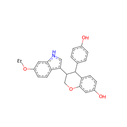 CCOc1ccc2c(C3COc4cc(O)ccc4C3c3ccc(O)cc3)c[nH]c2c1